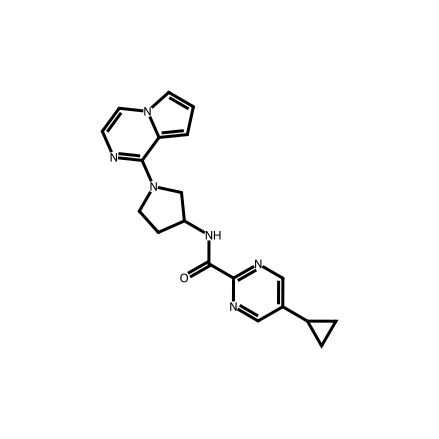 O=C(NC1CCN(c2nccn3cccc23)C1)c1ncc(C2CC2)cn1